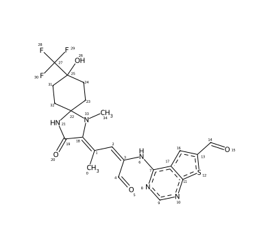 CC(/C=C(\C=O)Nc1ncnc2sc(C=O)cc12)=C1\C(=O)NC2(CCC(O)(C(F)(F)F)CC2)N1C